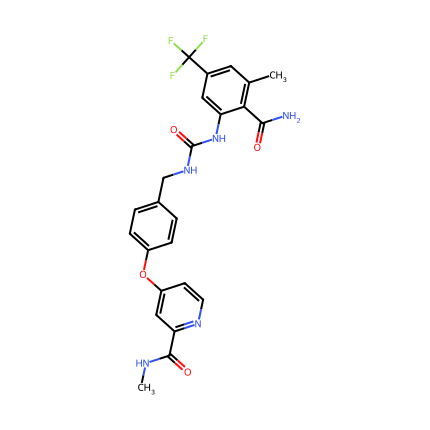 CNC(=O)c1cc(Oc2ccc(CNC(=O)Nc3cc(C(F)(F)F)cc(C)c3C(N)=O)cc2)ccn1